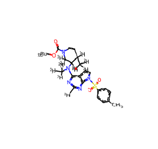 [2H]c1nc(N(C([2H])([2H])[2H])C2([2H])C([2H])([2H])N(C(=O)OC(C)(C)C)CCC2([2H])C([2H])([2H])[2H])c2ccn(S(=O)(=O)c3ccc(C)cc3)c2n1